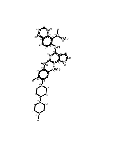 COc1cc(N2CCC(N3CCN(C)CC3)CC2)c(C)cc1Nc1nc(Nc2ccc3nccnc3c2N(C)SC)c2ccoc2n1